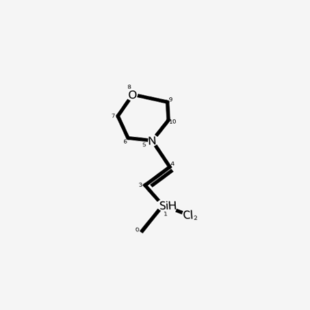 C[SiH](Cl)C=CN1CCOCC1